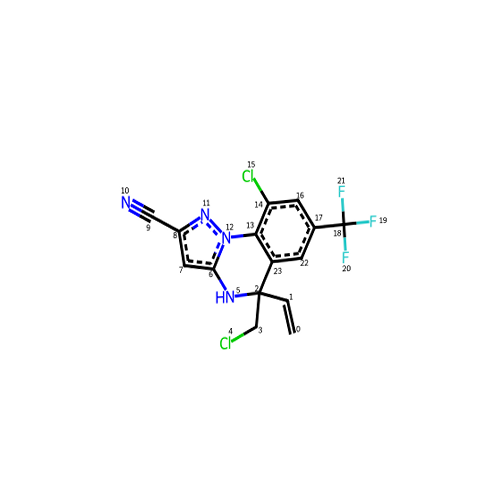 C=CC1(CCl)Nc2cc(C#N)nn2-c2c(Cl)cc(C(F)(F)F)cc21